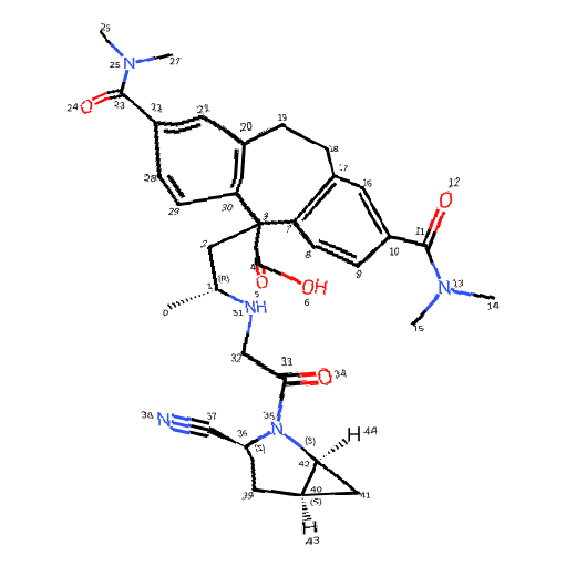 C[C@H](CC1(C(=O)O)c2ccc(C(=O)N(C)C)cc2CCc2cc(C(=O)N(C)C)ccc21)NCC(=O)N1[C@H](C#N)C[C@@H]2C[C@@H]21